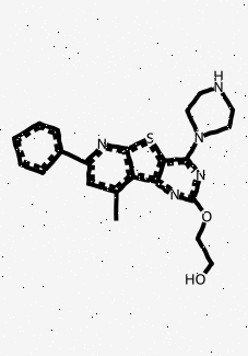 Cc1cc(-c2ccccc2)nc2sc3c(N4CCNCC4)nc(OCCO)nc3c12